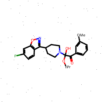 CCCOC(O)(C(=O)c1cccc(OC)c1)N1CCC(c2noc3cc(F)ccc23)CC1